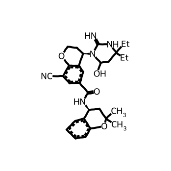 CCC1(CC)CC(O)N([C@@H]2CCOc3c(C#N)cc(C(=O)N[C@H]4CC(C)(C)Oc5ccccc54)cc32)C(=N)N1